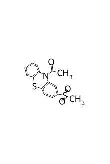 CC(=O)N1c2ccccc2Sc2ccc(S(C)(=O)=O)cc21